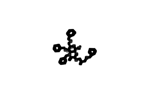 C=CC(OCC(=C)COCc1ccccc1)O[C@H]1[C@H](OC)O[C@H](COCc2ccccc2)[C@@H](OCc2ccccc2)[C@@H]1OCc1ccccc1